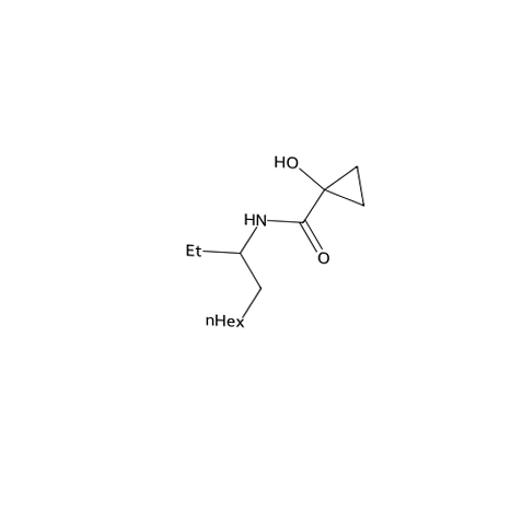 CCCCCCCC(CC)NC(=O)C1(O)CC1